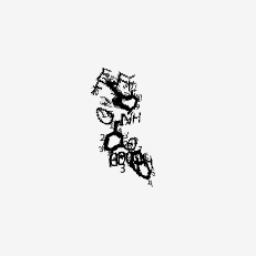 CC1(O)C2CCC1CC(S(=O)(=O)c1cc(C(=O)Nc3ccc(F)c(C(F)(F)F)c3)ccc1Cl)C2